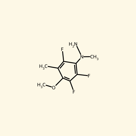 COc1c(C)c(F)c(N(C)N)c(F)c1F